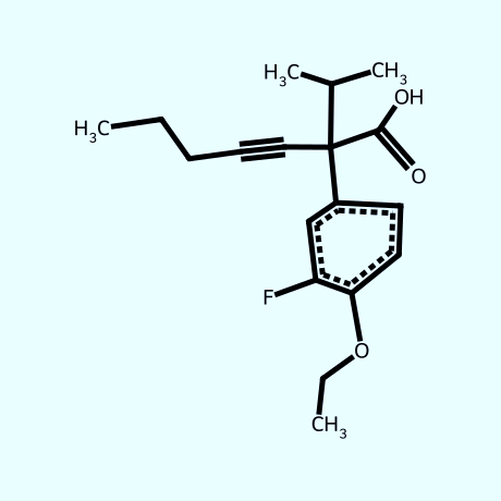 CCCC#CC(C(=O)O)(c1ccc(OCC)c(F)c1)C(C)C